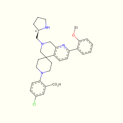 CCOc1ccccc1-c1ccc2c(n1)CN(C[C@H]1CCCN1)CC21CCN(c2ccc(Cl)cc2C(=O)O)CC1